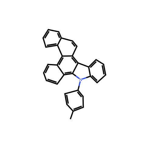 Cc1ccc(-n2c3ccccc3c3c4ccc5ccccc5c4c4ccccc4c32)cc1